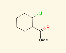 COC(=O)C1CCCCC1Cl